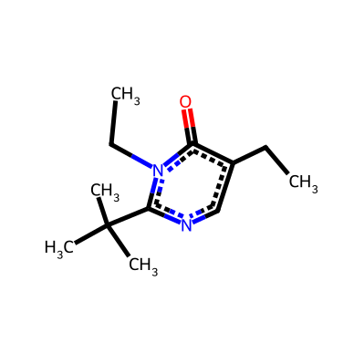 CCc1cnc(C(C)(C)C)n(CC)c1=O